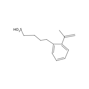 C=C(C)c1ccccc1CCCCS(=O)(=O)O